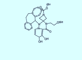 COCCN1C(=O)C2=C(O)C(O)C=CN2N(C2c3ccccc3CCc3ccccc32)C12CN(C(=O)OC(C)(C)C)C2